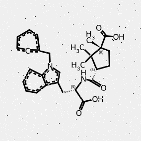 CC1(C)[C@@H](C(=O)N[C@@H](Cc2cn(Cc3ccccc3)c3ccccc23)C(=O)O)CC[C@@]1(C)C(=O)O